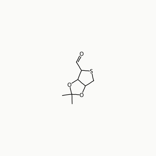 CC1(C)OC2CSC(C=O)C2O1